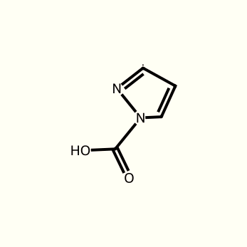 O=C(O)n1cc[c]n1